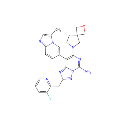 Cc1cnc2ccc(-c3c(N4CCC5(COC5)C4)nc(N)n4nc(Cc5ncccc5F)nc34)cn12